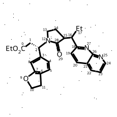 CCOC(=O)C[C@@H](c1ccc2c(c1)OCC2)N1CCC(C(CC)c2ccc3cccnc3n2)C1=O